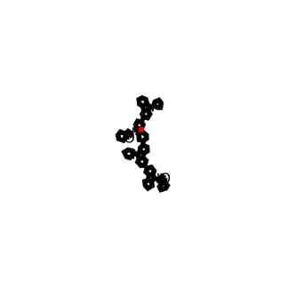 c1ccc(-n2c3ccccc3c3cc(-c4ccc5c(c4)c4ccc(-c6ccc7c8cc(-c9ccc%10c(c9)c9ccccc9n%10-c9coc%10ccccc9%10)ccc8n(-c8ccccc8)c7c6)cc4n5-c4cc5ccccc5o4)ccc32)cc1